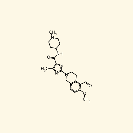 COc1ccc2c(c1C=O)CCN(c1nc(C)c(C(=O)NC3CCN(C)CC3)s1)C2